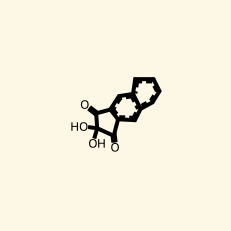 O=C1c2cc3ccccc3cc2C(=O)C1(O)O